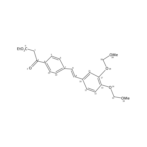 CCOC(=O)CC(=O)c1ccc(/C=C/c2ccc(OCOC)c(OCOC)c2)cc1